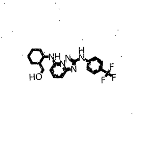 OCC1CCCCC1Nc1cccc2nc(Nc3ccc(C(F)(F)F)cc3)nn12